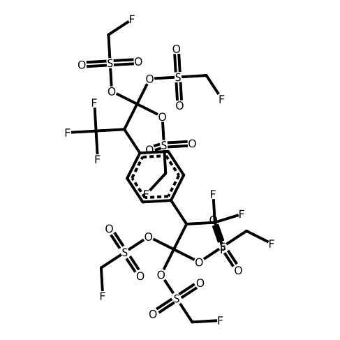 O=S(=O)(CF)OC(OS(=O)(=O)CF)(OS(=O)(=O)CF)C(c1ccc(C(C(F)(F)F)C(OS(=O)(=O)CF)(OS(=O)(=O)CF)OS(=O)(=O)CF)cc1)C(F)(F)F